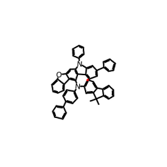 CC1(C)c2ccccc2-c2ccc(N(c3ccc(-c4ccccc4)cc3)c3c4c(cc5c3c3ccc(-c6ccccc6)cc3n5-c3ccccc3)oc3ccccc34)cc21